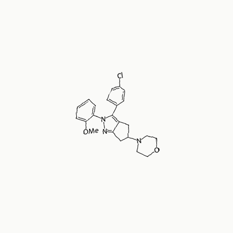 COc1ccccc1-n1nc2c(c1-c1ccc(Cl)cc1)CC(N1CCOCC1)C2